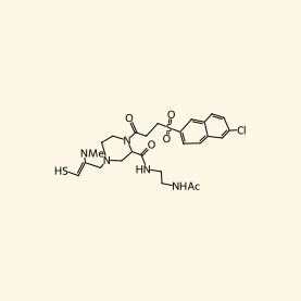 CN/C(=C\S)CN1CCN(C(=O)CCS(=O)(=O)c2ccc3cc(Cl)ccc3c2)C(C(=O)NCCNC(C)=O)C1